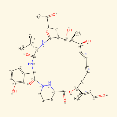 CC(=O)CC[C@H]1C(=O)N[C@@H](C(C)C)C(=O)NC(c2cccc(O)c2)C(=O)N2CCCC(N2)C(=O)O[C@H](/C(C)=C/C=O)C/C=C/C=C/[C@H](O)[C@H](C)[C@H]1O